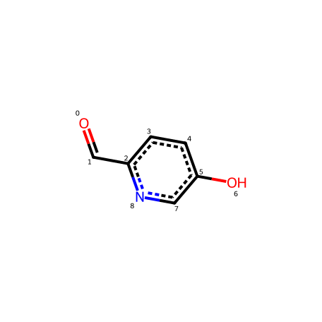 O=Cc1ccc(O)cn1